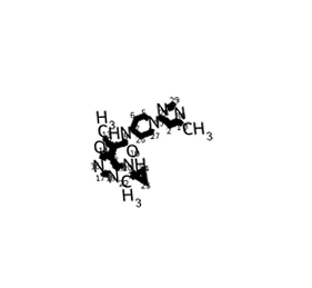 Cc1cc(N2CCC(NC(=O)c3c(C)oc4ncnc(NC5(C)CC5)c34)CC2)ncn1